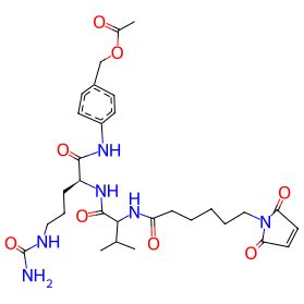 CC(=O)OCc1ccc(NC(=O)[C@H](CCCNC(N)=O)NC(=O)C(NC(=O)CCCCCN2C(=O)C=CC2=O)C(C)C)cc1